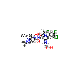 COc1cc(C(=O)NC[C@](O)(c2cc(N3CC[C@@H](O)C3)cc(-c3cc(Cl)c(F)cc3F)n2)C2CC2)cc2cn(C3CC3)nc12